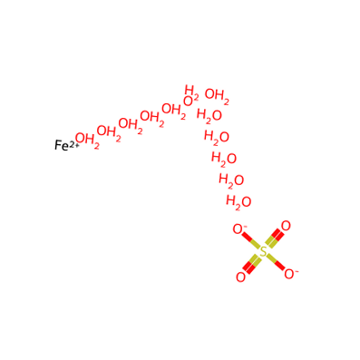 O.O.O.O.O.O.O.O.O.O.O.O.O=S(=O)([O-])[O-].[Fe+2]